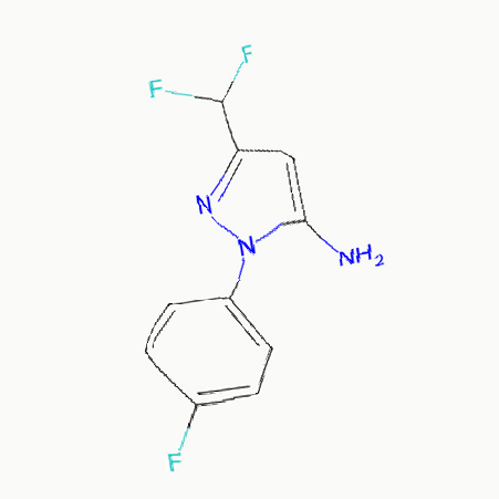 Nc1cc(C(F)F)nn1-c1ccc(F)cc1